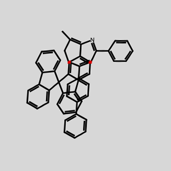 C\C1=C(c2ccc3c(c2)C2(c4ccccc4-c4ccccc42)c2ccccc2-3)/N=C(c2ccccc2)\C=C(\c2ccc(-c3ccccc3)cc2)CC1